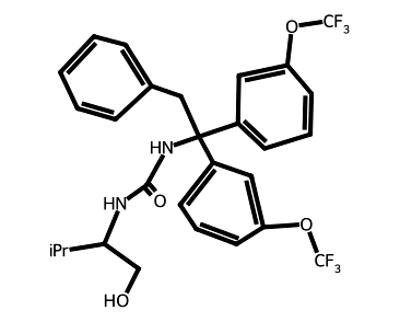 CC(C)C(CO)NC(=O)NC(Cc1ccccc1)(c1cccc(OC(F)(F)F)c1)c1cccc(OC(F)(F)F)c1